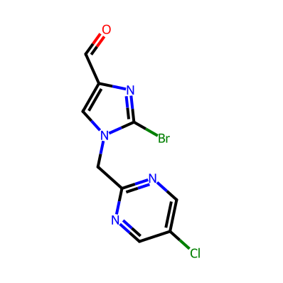 O=Cc1cn(Cc2ncc(Cl)cn2)c(Br)n1